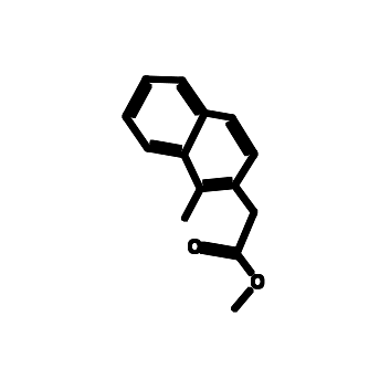 COC(=O)Cc1ccc2ccccc2c1C